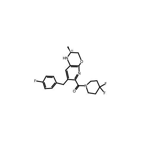 C[C@H]1COc2nc(C(=O)N3CCC(F)(F)CC3)c(Cc3ccc(F)cc3)cc2N1